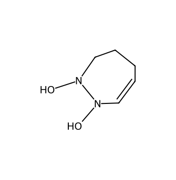 ON1C=CCCCN1O